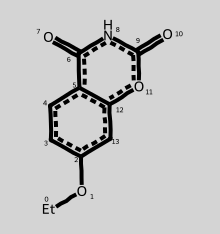 CCOc1ccc2c(=O)[nH]c(=O)oc2c1